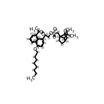 CCCCCCCCOc1ccc(C(=O)COS(=O)(=O)CC23CCC(CC2=O)C3C(C)C)c2c(C(C)=O)cccc12